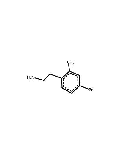 Cc1cc(Br)ccc1CCN